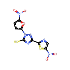 O=[N+]([O-])c1ccc(-n2nc(-c3ncc([N+](=O)[O-])s3)nc2S)o1